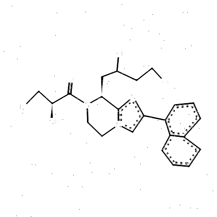 CCCC(C)C[C@H]1c2nc(-c3cccc4ccccc34)cn2CCN1C(=O)[C@@H](N)CS